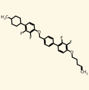 C=CCCCOc1ccc(-c2ccc(COc3ccc(C4CCC(C)CC4)c(F)c3F)cc2)c(F)c1F